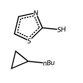 CCCCC1CC1.Sc1nccs1